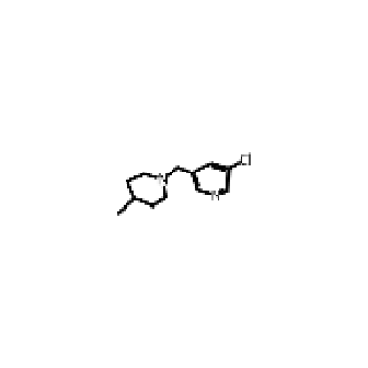 CC1CCN(Cc2cncc(Cl)c2)CC1